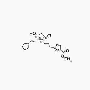 COC(=O)c1ccc(CCC[C@@H]2[C@H](C=CC3CCCC3)[C@H](O)C[C@@H]2Cl)s1